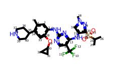 Cc1cc(Nc2ncc(C(F)(F)F)c(Nc3cn(C)nc3S(=O)(=O)C(C)C)n2)c(OC2CC2)cc1C1CCNCC1